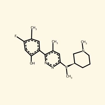 Cc1cc(-c2nnc(N(C)[C@@H]3CCCN(C)C3)cc2C)c(O)cc1F